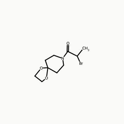 CC(Br)C(=O)N1CCC2(CC1)OCCO2